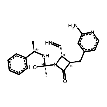 C[C@@H](N[C@](C)(O)N1C(=O)[C@H](Cc2ccnc(N)c2)[C@H]1C=N)c1ccccc1